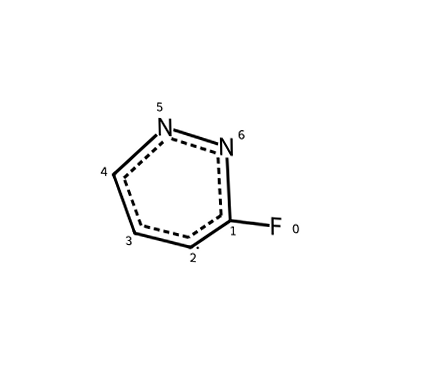 Fc1[c]ccnn1